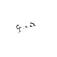 COc1cc(OC)nc(NC(=O)NS(=O)(=O)c2ncccc2C(O)CCl)n1